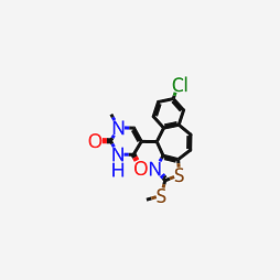 CSc1nc2c(s1)C=Cc1cc(Cl)ccc1C2c1cn(C)c(=O)[nH]c1=O